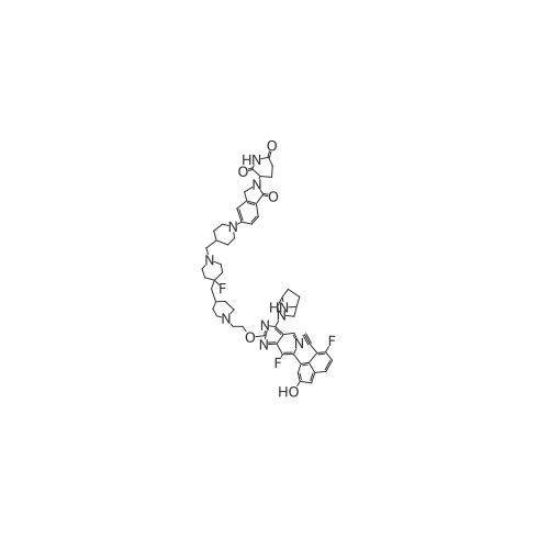 C#Cc1c(F)ccc2cc(O)cc(-c3ncc4c(N5CC6CCC(C5)N6)nc(OCCN5CCC(CC6(F)CCN(CC7CCN(c8ccc9c(c8)CN(C8CCC(=O)NC8=O)C9=O)CC7)CC6)CC5)nc4c3F)c12